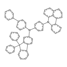 c1ccc(-c2ccc(N(c3ccc(N4c5ccccc5-c5cccc6cccc4c56)cc3)c3ccc4c(c3)C(c3ccccc3)(c3ccccc3)c3ccccc3-4)cc2)cc1